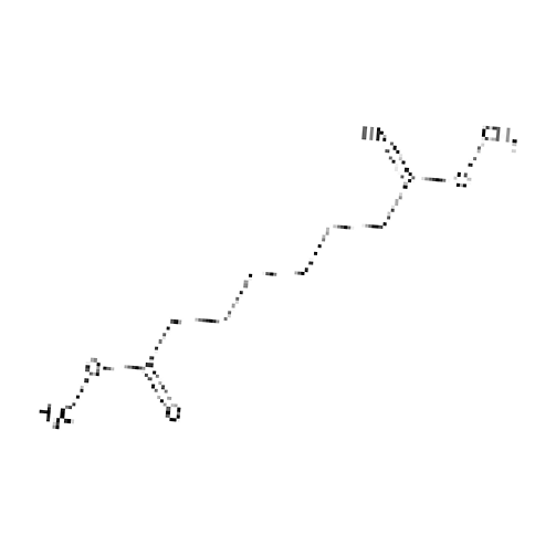 COC(=N)CCCCCCC(=O)OC